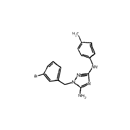 Cc1ccc(Nc2nc(N)n(Cc3cccc(Br)c3)n2)cc1